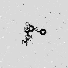 FC(F)c1nnc(-c2cnn3c(Cl)cc(SCc4ccccc4)cc23)s1